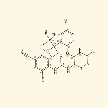 CC1CCC(NC(=O)Nc2ccc(C#N)cc2F)C(Oc2ccc(F)cc2C2(C(F)(F)F)CCO2)N1